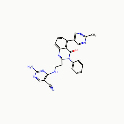 Cc1ncc(-c2cccc3nc(CCNc4nc(N)ncc4C#N)n(-c4ccccc4)c(=O)c23)cn1